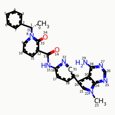 C[C@@H](c1ccccc1)n1cccc(C(=O)Nc2ccc(-c3cn(C)c4ncnc(N)c34)cn2)c1=O